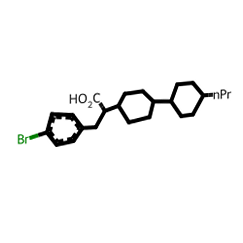 CCCC1CCC(C2CCC(C(Cc3ccc(Br)cc3)C(=O)O)CC2)CC1